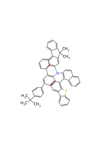 CC(C)(C)c1ccc(-c2ccc(N(c3ccc4c(c3)C(C)(C)c3ccccc3-4)c3ccc4ccccc4c3-c3cccc4c3sc3ccccc34)c(-c3ccccc3)c2)cc1